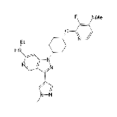 CCNc1cc2c(cn1)c(-c1cnn(C)c1)nn2[C@H]1CC[C@@H](Oc2nccc(NC)c2F)CC1